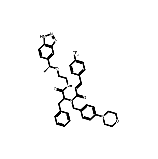 C[C@H](OCCN(C)C(=O)C(Cc1ccccc1)N(Cc1ccc(N2CCOCC2)cc1)C(=O)C=Cc1ccc(C(F)(F)F)cc1)c1ccc2[nH]nnc2c1